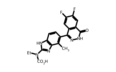 CCN(C(=O)O)c1nc2c(C)c(-c3n[nH]c(=O)c4cc(F)c(F)cc34)ccc2[nH]1